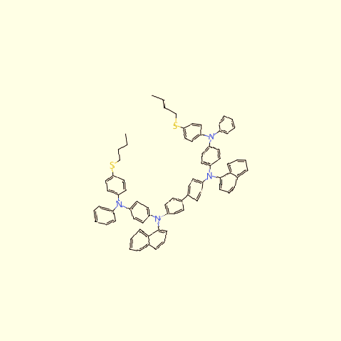 CCCCSc1ccc(N(c2ccccc2)c2ccc(N(c3ccc(-c4ccc(N(c5ccc(N(c6ccccc6)c6ccc(SCCCC)cc6)cc5)c5cccc6ccccc56)cc4)cc3)c3cccc4ccccc34)cc2)cc1